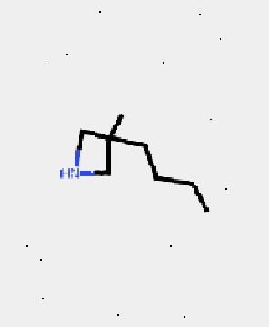 CCCCC1(C)CNC1